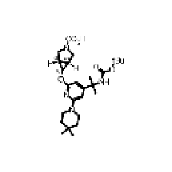 CC1(C)CCN(c2cc(C(C)(C)NC(=O)OC(C)(C)C)cc(O[C@@H]3[C@@H]4CN(C(=O)O)C[C@@H]43)n2)CC1